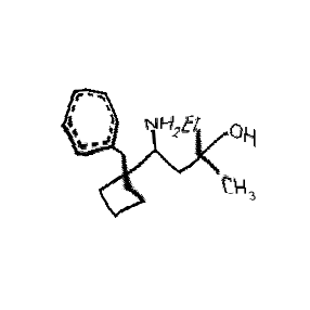 CCC(C)(O)CC(N)C1(c2ccccc2)CCC1